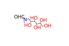 CN(C=O)CC(O)C(O)C(O)C(O)CO